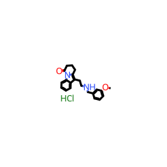 COc1cccc(CNCCc2c3n(c4ccccc24)C(=O)CCC3)c1.Cl